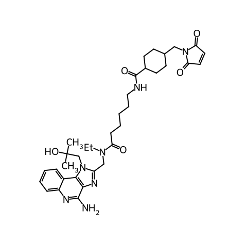 CCN(Cc1nc2c(N)nc3ccccc3c2n1CC(C)(C)O)C(=O)CCCCCNC(=O)C1CCC(CN2C(=O)C=CC2=O)CC1